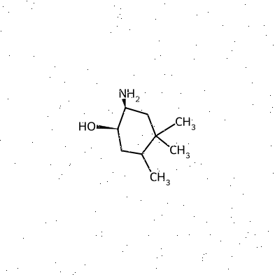 CC1C[C@@H](O)[C@@H](N)CC1(C)C